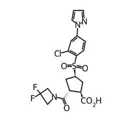 O=C(O)[C@@H]1C[C@H](S(=O)(=O)c2ccc(-n3cccn3)cc2Cl)C[C@H]1C(=O)N1CC(F)(F)C1